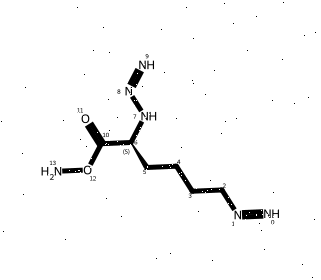 N=NCCCC[C@H](NN=N)C(=O)ON